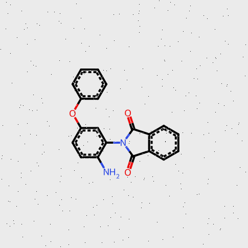 Nc1ccc(Oc2ccccc2)cc1N1C(=O)c2ccccc2C1=O